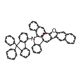 c1ccc(C2(c3ccccc3)c3ccccc3-c3c(N(c4ccccc4-c4ccc5oc6cc7ccccc7cc6c5c4)c4cccc5ccccc45)cccc32)cc1